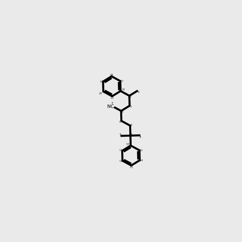 CC(CC(C#N)CCC(C)(C)c1ccccc1)c1ccccc1